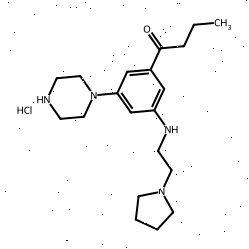 CCCC(=O)c1cc(NCCN2CCCC2)cc(N2CCNCC2)c1.Cl